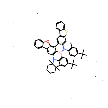 Cc1cc(C(C)(C)C)ccc1N1B2c3cc(C(C)(C)C)cc4c3N(c3cc5c(oc6ccccc65)c(c32)-c2cc3c(cc21)sc1ccccc13)C1(C)CCCCC41C